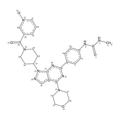 CNC(=O)Nc1ccc(-c2nc(N3CCOCC3)c3cnn(C4CCN(C(=O)c5ccc[n+]([O-])c5)CC4)c3n2)cc1